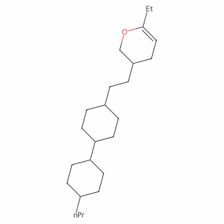 CCCC1CCC(C2CCC(CCC3CC=C(CC)OC3)CC2)CC1